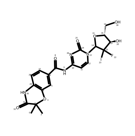 CC1(C)Oc2cc(C(=O)Nc3ccn(C4O[C@H](CO)[C@@H](O)C4(F)I)c(=O)n3)ccc2NC1=O